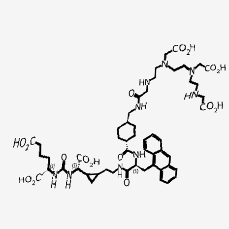 O=C(O)CCC[C@H](NC(=O)N[C@H](C(=O)O)C1CC1CCNC(=O)[C@H](Cc1c2ccccc2cc2ccccc12)NC(=O)[C@H]1CC[C@H](CNC(=O)CNCCN(CCN(CCNCC(=O)O)CC(=O)O)CC(=O)O)CC1)C(=O)O